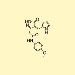 COc1ccc(NC(=O)CC2=NNC(=O)C2=Cc2ccc[nH]2)cc1